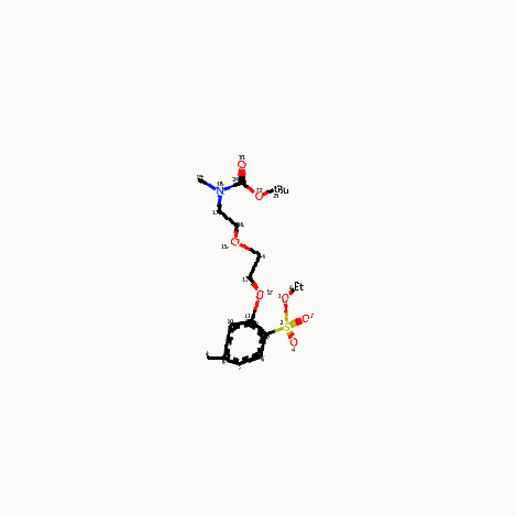 CCOS(=O)(=O)c1ccc(C)cc1OCCOCCN(C)C(=O)OC(C)(C)C